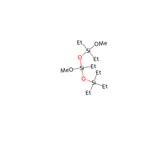 CC[Si](CC)(CC)O[Si](CC)(OC)O[Si](CC)(CC)OC